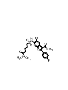 CCc1cc2c(C(=O)NC)c(-c3ccc(F)cc3)oc2nc1NS(=O)(=O)CCCCC(=O)N(C)C